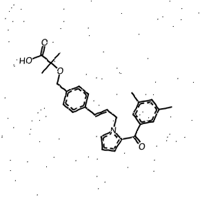 Cc1cc(C)cc(C(=O)c2cccn2C/C=C/c2ccc(COC(C)(C)C(=O)O)cc2)c1